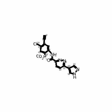 C#Cc1cc(NC(=O)c2ccc(-c3cn[nH]c3)nn2)c(C(=O)O)cc1Cl